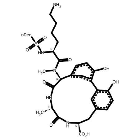 CCCCCCCCCCS(=O)(=O)N[C@@H](CCCCN)C(=O)N(C)[C@@H]1C(=O)N[C@@H](C)C(=O)N[C@H](C(=O)O)Cc2ccc(O)c(c2)-c2cc1ccc2O